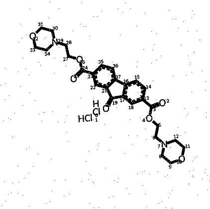 Cl.Cl.O=C(OCCN1CCOCC1)c1ccc2c(c1)C(=O)c1cc(C(=O)OCCN3CCOCC3)ccc1-2